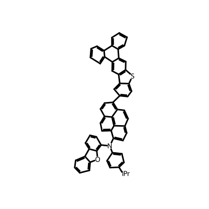 CC(C)c1ccc(N(c2ccc3ccc4c(-c5ccc6sc7cc8c9ccccc9c9ccccc9c8cc7c6c5)ccc5ccc2c3c54)c2cccc3c2oc2ccccc23)cc1